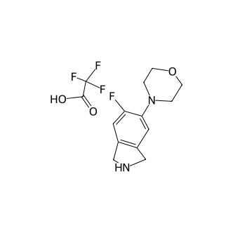 Fc1cc2c(cc1N1CCOCC1)CNC2.O=C(O)C(F)(F)F